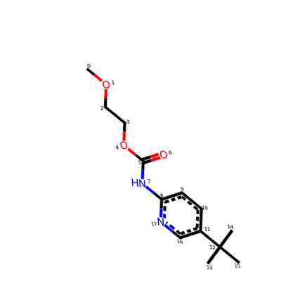 COCCOC(=O)Nc1ccc(C(C)(C)C)cn1